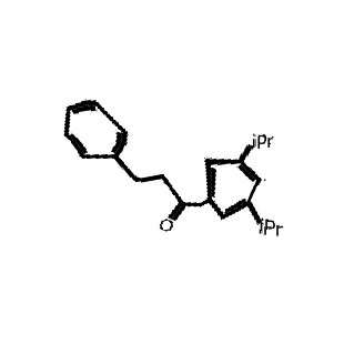 CC(C)c1[c]c(C(C)C)cc(C(=O)CCc2ccccc2)c1